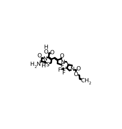 C=CCOC(=O)N1C[C@H](CN2CCC(=CC3=C(C(=O)O)N4C(=O)[C@@H](N)[C@H]4SC3)C2=O)[C@@H](C(F)(F)F)C1